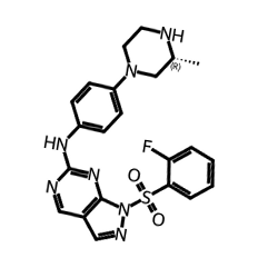 C[C@@H]1CN(c2ccc(Nc3ncc4cnn(S(=O)(=O)c5ccccc5F)c4n3)cc2)CCN1